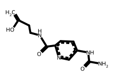 C=C(O)CCNC(=O)c1ccc(NC(N)=O)cn1